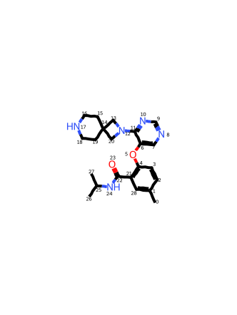 Cc1ccc(Oc2cncnc2N2CC3(CCNCC3)C2)c(C(=O)NC(C)C)c1